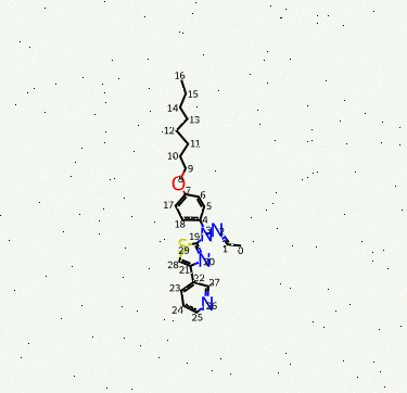 C/C=N/N(c1ccc(OCCCCCCCC)cc1)c1nc(-c2cccnc2)cs1